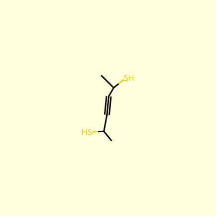 CC(S)C#CC(C)S